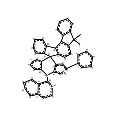 CC1(C)c2ccccc2-c2c1ccc1c2-c2ccccc2C12c1ccccc1N(c1nccc3ccccc13)c1ccc(-c3ccccc3)cc12